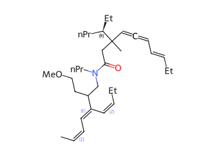 C\C=C/C=C(\C=C/CC)C(CCOC)CN(CCC)C(=O)CC(C)(C=C=CC=CCC)[C@H](CC)CCC